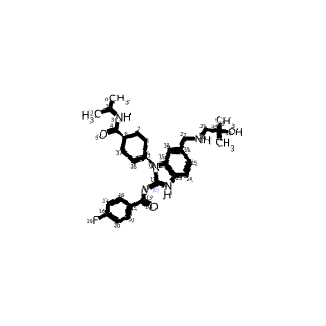 CC(C)NC(=O)[C@H]1CC[C@@H](n2/c(=N/C(=O)c3ccc(F)cc3)[nH]c3ccc(CNCC(C)(C)O)cc32)CC1